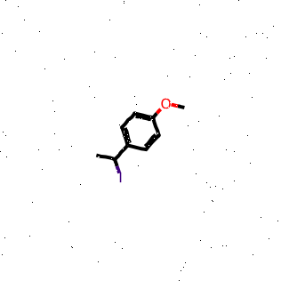 COc1ccc(C(C)I)cc1